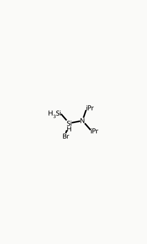 CC(C)N(C(C)C)[SiH]([SiH3])Br